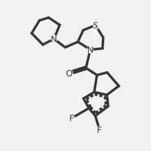 O=C(C1CCc2cc(F)c(F)cc21)N1CCSCC1CN1CCCCC1